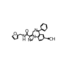 C#Cc1ccc2c(c1)C(c1ccccc1)=NCc1c(C(=O)NCc3ccco3)ncn1-2